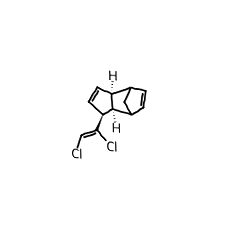 ClC=C(Cl)[C@H]1C=C[C@H]2C3C=CC(C3)[C@@H]12